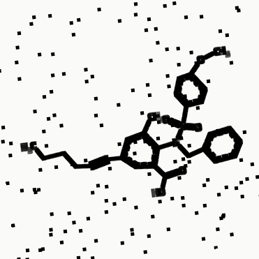 CCCCC#Cc1cc(C)c(N(Cc2ccccc2)S(=O)(=O)c2ccc(OC)cc2)c(C(=O)O)c1